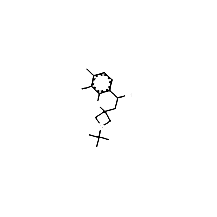 Cc1ccc2c(c1C)OC1(CC2O)CN(C(C)(C)C)C1